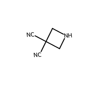 N#CC1(C#N)CNC1